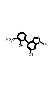 Cn1ncc2c(-c3cccc(C(=O)O)c3O)cc(C#N)cc21